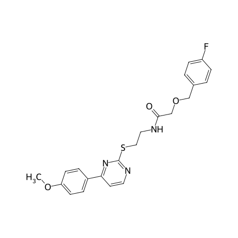 COc1ccc(-c2ccnc(SCCNC(=O)COCc3ccc(F)cc3)n2)cc1